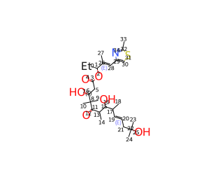 CCC(OC(=O)C[C@H](O)C(C)(C)C(=O)C(C)C(O)C(C)/C=C/CC(C)(C)O)/C(C)=C/c1csc(C)n1